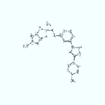 Cc1ccc(-c2cn(-c3cccc(OC[C@@]4(C)Cn5cc([N+](=O)[O-])nc5O4)c3)nn2)cc1